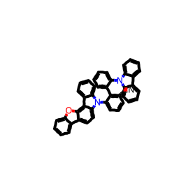 N#Cc1cccc(-n2c3ccccc3c3c4oc5ccccc5c4ccc32)c1-c1ccccc1-n1c2ccccc2c2ccccc21